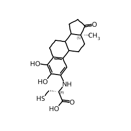 C[C@]12CCC3c4cc(N[C@@H](CS)C(=O)O)c(O)c(O)c4CCC3C1CCC2=O